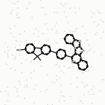 CC1(C)c2cc(C#N)ccc2-c2ccc(-c3ccc(-c4nc5ccccc5c5nc6oc7ccccc7n6c45)cc3)cc21